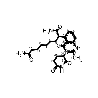 Cc1nc2cccc(C(CCCCCCC(N)=O)C(N)=O)c2c(=O)n1C1CCC(=O)NC1=O